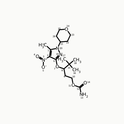 Cc1c([N+](=O)[O-])c(OC(CCOC(N)=O)C(C)(C)C)nn1C1CCOCC1